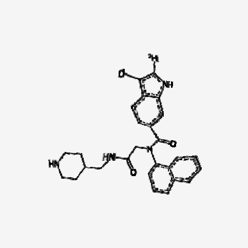 [2H]c1[nH]c2cc(C(=O)N(CC(=O)NCC3CCNCC3)c3cccc4ccccc34)ccc2c1Cl